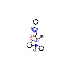 CC(C)C[C@H](NC(=O)[C@@H]1CCCC[C@@H]1NC(=O)c1ccccc1)C(=O)Cn1nnc(-c2ccccc2)n1